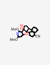 COc1cc2c(c(OC)n1)[C@]1(O)CCC(c3ccccc3)C1(c1ccc(C#N)cc1)O2